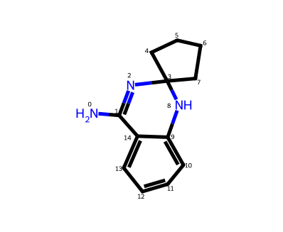 NC1=NC2(CCCC2)Nc2ccccc21